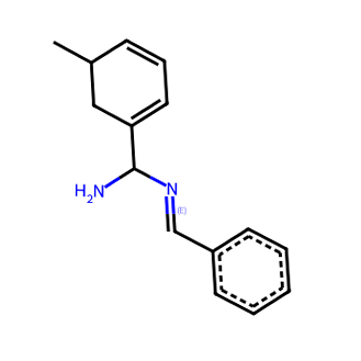 CC1C=CC=C(C(N)/N=C/c2ccccc2)C1